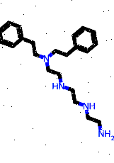 NCCNCCNCCN(CCc1ccccc1)CCc1ccccc1